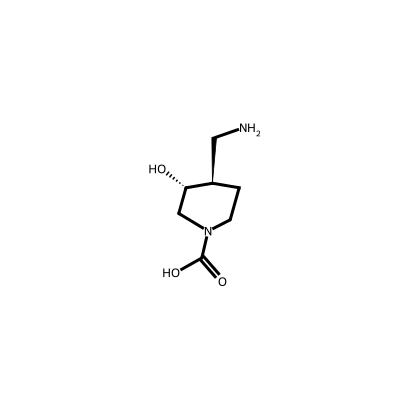 NC[C@H]1CCN(C(=O)O)C[C@@H]1O